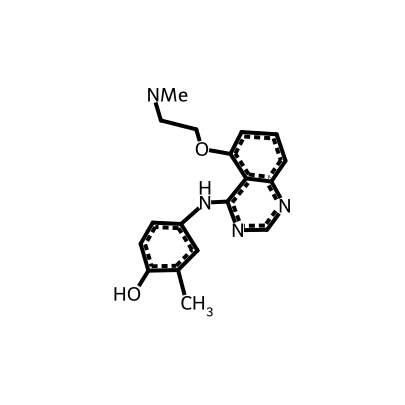 CNCCOc1cccc2ncnc(Nc3ccc(O)c(C)c3)c12